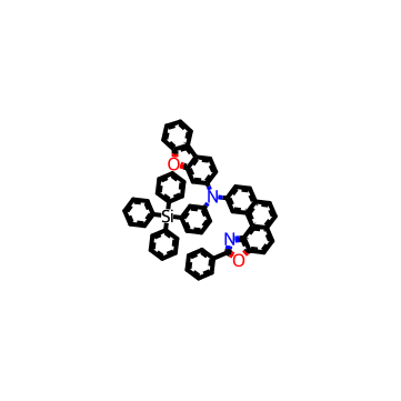 c1ccc(-c2nc3c(ccc4ccc5ccc(N(c6cccc([Si](c7ccccc7)(c7ccccc7)c7ccccc7)c6)c6ccc7c(c6)oc6ccccc67)cc5c43)o2)cc1